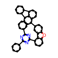 c1ccc(-c2nc(-c3ccccc3)nc(-c3cccc4oc5ccc(-c6ccc7c8c(cccc68)-c6ccccc6-7)cc5c34)n2)cc1